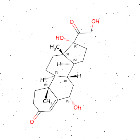 C[C@]12CCC(=O)C=C1[C@@H](O)C[C@@H]1[C@@H]2CC[C@@]2(C)[C@H]1CC[C@]2(O)C(=O)CO